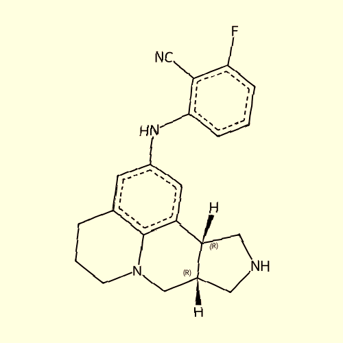 N#Cc1c(F)cccc1Nc1cc2c3c(c1)[C@@H]1CNC[C@@H]1CN3CCC2